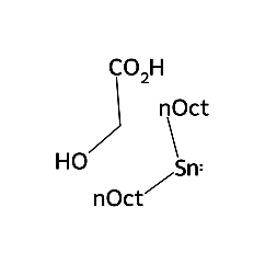 CCCCCCC[CH2][Sn][CH2]CCCCCCC.O=C(O)CO